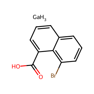 O=C(O)c1cccc2cccc(Br)c12.[GaH3]